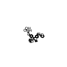 CC1(C)OB(/C(=C(\c2ccc(OCCNC(=O)O)cc2)c2ccc3c(cnn3C3CCCCO3)c2)C2CCC2)OC1(C)C